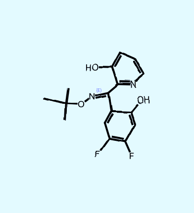 CC(C)(C)O/N=C(\c1cc(F)c(F)cc1O)c1ncccc1O